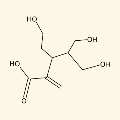 C=C(C(=O)O)C(CCO)C(CO)CO